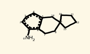 Nc1cccc2c1CCC1(CCCC1)C2